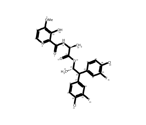 COc1ccnc(C(=O)N[C@@H](C)C(=O)O[C@@H](C)C(c2ccc(Cl)c(F)c2)c2ccc(Cl)c(F)c2)c1O